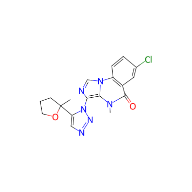 Cn1c(=O)c2cc(Cl)ccc2n2cnc(-n3nncc3C3(C)CCCO3)c12